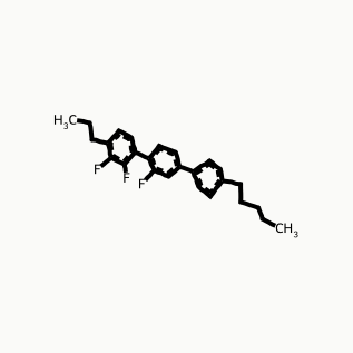 CCCCCc1ccc(-c2ccc(-c3ccc(CCC)c(F)c3F)c(F)c2)cc1